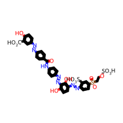 O=C(Nc1ccc(/N=N/c2c(O)ccc(/N=N/c3ccc(S(=O)(=O)CCOS(=O)(=O)O)cc3S(=O)(=O)O)c2O)cc1)c1ccc(/N=N/c2ccc(O)c(C(=O)O)c2)cc1